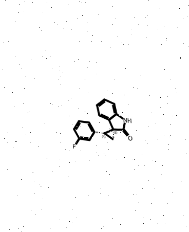 O=C1Nc2ccccc2[C@@]12C[C@@H]2c1cccc(F)c1